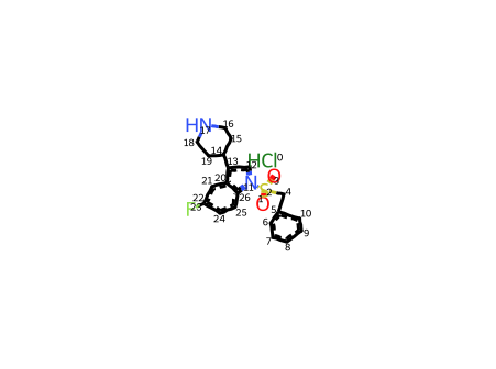 Cl.O=S(=O)(Cc1ccccc1)n1cc(C2CCNCC2)c2cc(F)ccc21